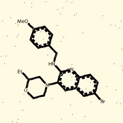 CCC1CN(c2cc3cc(Br)ccc3nc2NCc2ccc(OC)cc2)CCO1